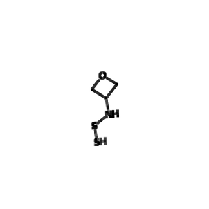 SSNC1COC1